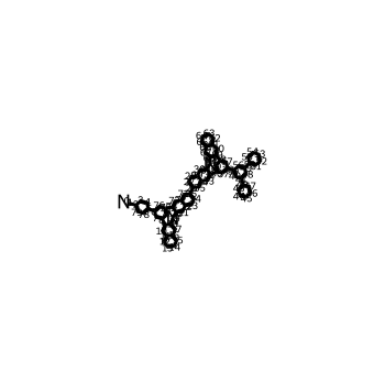 N#Cc1ccc(-c2cc3c4cc5ccccc5cc4n4c5cc6ccc(-c7ccc8cc9c(cc8c7)c7cc(-c8cc(-c%10ccccc%10)cc(-c%10ccccc%10)c8)cc8c%10cc%11ccccc%11cc%10n9c87)cc6cc5c(c2)c34)cc1